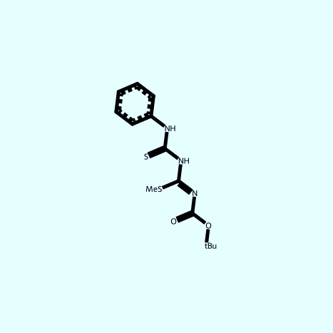 CS/C(=N\C(=O)OC(C)(C)C)NC(=S)Nc1ccccc1